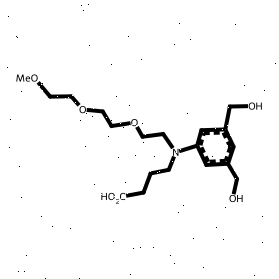 COCCOCCOCCN(CCCC(=O)O)c1cc(CO)cc(CO)c1